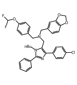 CCCCn1c(-c2ccccc2)nc(-c2ccc(Cl)cc2)c1CN(Cc1ccc(OC(F)F)cc1)Cc1ccc2c(c1)OCO2